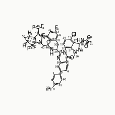 CC(C)c1ccc(-c2ccc3c(=O)n(-c4ccc(Cl)c5c(NS(C)(=O)=O)nn(C)c45)c([C@H](Cc4cc(F)cc(F)c4)NC(=O)Cn4nc(C(F)F)c5c4C(F)(F)[C@@H]4C[C@H]54)nc3c2)cc1